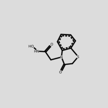 O=C(CN1C(=O)CSc2ccccc21)NO